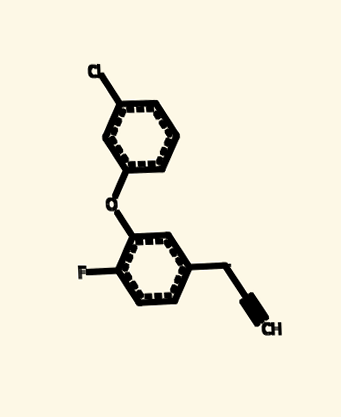 C#C[CH]c1ccc(F)c(Oc2cccc(Cl)c2)c1